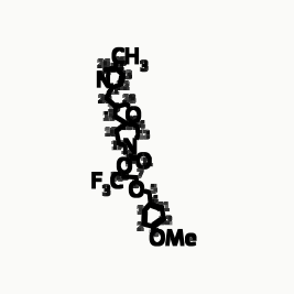 COc1ccc(COC[C@@H](OC(=O)N2CCC3(CC2)CC(Cc2ccc(C)cn2)CO3)C(F)(F)F)cc1